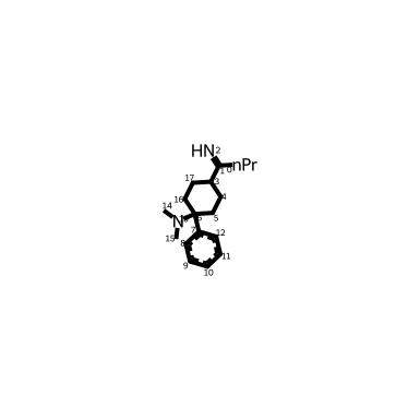 CCCC(=N)C1CCC(c2ccccc2)(N(C)C)CC1